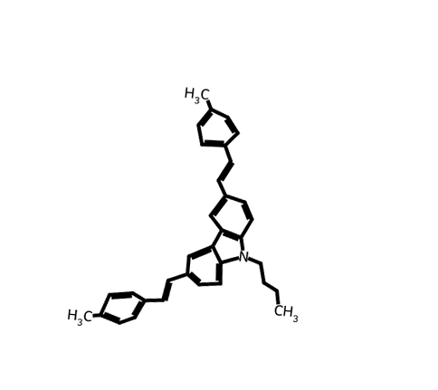 CCCCn1c2ccc(/C=C/c3ccc(C)cc3)cc2c2cc(/C=C/c3ccc(C)cc3)ccc21